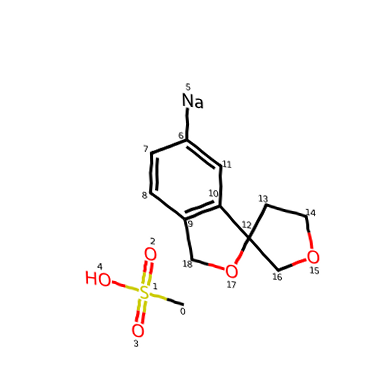 CS(=O)(=O)O.[Na][c]1ccc2c(c1)C1(CCOC1)OC2